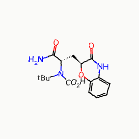 CC(C)(C)N(C(=O)O)[C@@H](C[C@@H]1Oc2ccccc2NC1=O)C(N)=O